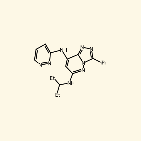 CCC(CC)Nc1cc(Nc2cccnn2)c2nnc(C(C)C)n2n1